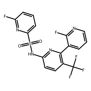 O=S(=O)(Nc1ccc(C(F)(F)F)c(-c2cccnc2F)n1)c1cccc(F)n1